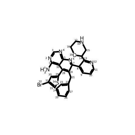 Nc1ncnc2nc(-c3cccnc3C3CNCCO3)c(Cc3ccccc3)c(-c3cc(Br)cs3)c12